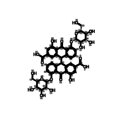 O=C(O)c1cc(O)c2c(c1)C(C1c3cc(C(=O)O)cc(O)c3C(=O)c3c(O[C@@H]4O[C@H](CO)[C@@H](O)[C@H](O)[C@H]4O)cccc31)c1cccc(O[C@@H]3O[C@H](CO)[C@@H](O)[C@H](O)[C@H]3O)c1C2=O